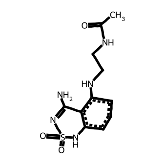 CC(=O)NCCNc1cccc2c1C(N)=NS(=O)(=O)N2